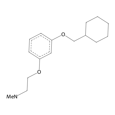 CNCCOc1cccc(OCC2CCCCC2)c1